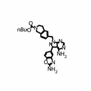 CCCCOC(=O)N1CCc2cc(Cn3nc(-c4ccc5oc(N)nc5c4)c4c(N)ncnc43)ccc2C1